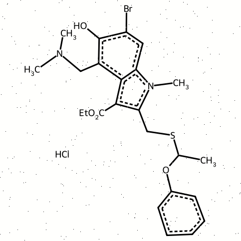 CCOC(=O)c1c(CSC(C)Oc2ccccc2)n(C)c2cc(Br)c(O)c(CN(C)C)c12.Cl